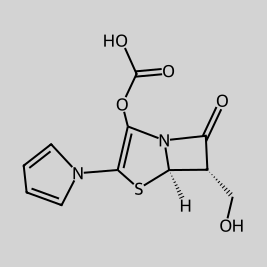 O=C(O)OC1=C(n2cccc2)S[C@@H]2[C@@H](CO)C(=O)N12